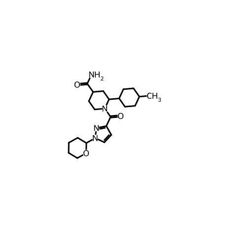 CC1CCC(C2CC(C(N)=O)CCN2C(=O)c2ccn(C3CCCCO3)n2)CC1